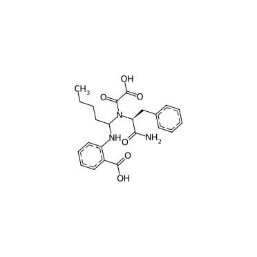 CCCCC(Nc1ccccc1C(=O)O)N(C(=O)C(=O)O)[C@@H](Cc1ccccc1)C(N)=O